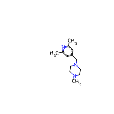 Cc1cc(CN2CCN(C)CC2)cc(C)n1